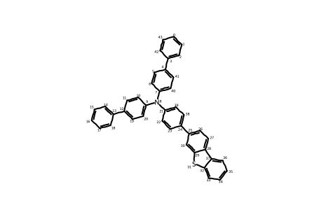 c1ccc(-c2ccc(N(c3ccc(-c4ccccc4)cc3)c3ccc(-c4ccc5c(c4)sc4ccccc45)cc3)cc2)cc1